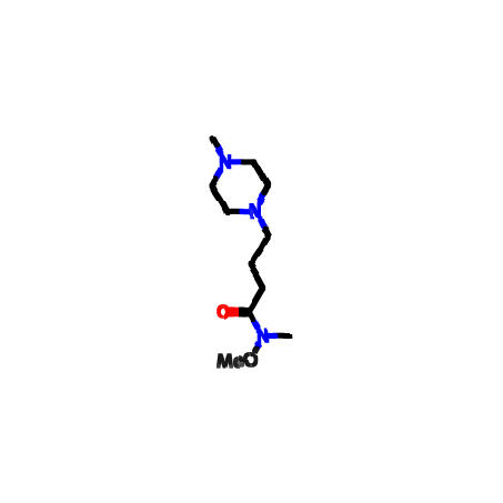 CON(C)C(=O)CCCN1CCN(C)CC1